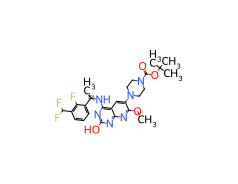 COc1nc2nc(O)nc(N[C@H](C)c3cccc(C(F)F)c3F)c2cc1N1CCN(C(=O)OC(C)(C)C)CC1